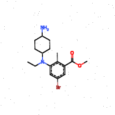 CCN(c1cc(Br)cc(C(=O)OC)c1C)C1CCC(N)CC1